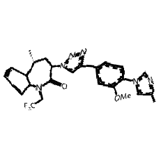 COc1cc(-c2cn(C3C[C@@H](C)C4C=CC=CC4N(CC(F)(F)F)C3=O)nn2)ccc1-n1cnc(C)c1